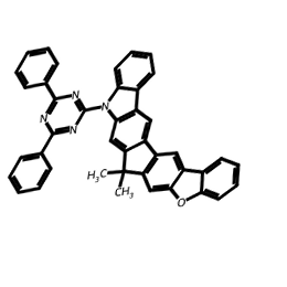 CC1(C)c2cc3oc4ccccc4c3cc2-c2cc3c4ccccc4n(-c4nc(-c5ccccc5)nc(-c5ccccc5)n4)c3cc21